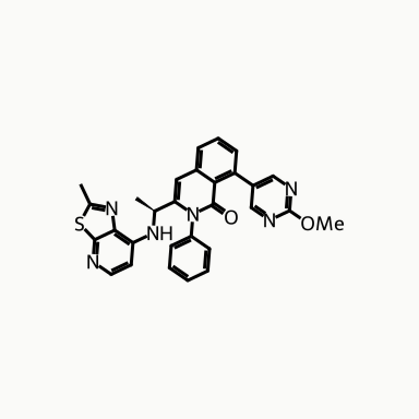 COc1ncc(-c2cccc3cc([C@H](C)Nc4ccnc5sc(C)nc45)n(-c4ccccc4)c(=O)c23)cn1